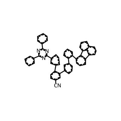 N#Cc1ccc(-c2cccc(-c3nc(-c4ccccc4)nc(-c4ccccc4)n3)c2)c(-c2cccc(-c3ccccc3-c3cccc4c3-c3cccc5cccc-4c35)c2)c1